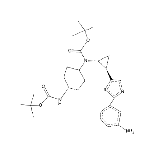 CC(C)(C)OC(=O)NC1CCC(N(C(=O)OC(C)(C)C)[C@@H]2C[C@H]2c2cnc(-c3cccc(N)c3)s2)CC1